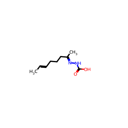 CC=CCCCC(C)=NNC(=O)O